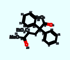 CCOC(=O)C(CC(C(=O)OC)(c1ccccc1)c1ccccc1)C(=O)OC